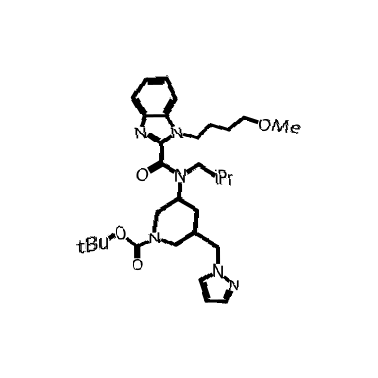 COCCCCn1c(C(=O)N(CC(C)C)C2CC(Cn3cccn3)CN(C(=O)OC(C)(C)C)C2)nc2ccccc21